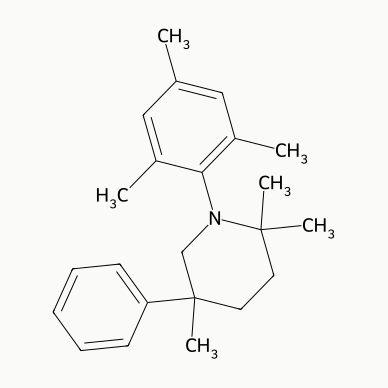 Cc1cc(C)c(N2CC(C)(c3ccccc3)CCC2(C)C)c(C)c1